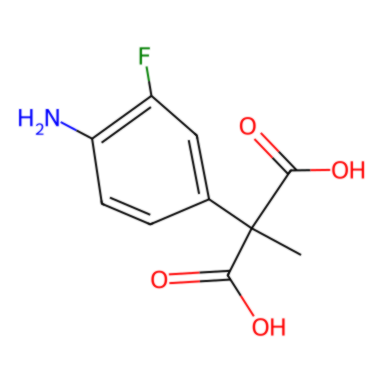 CC(C(=O)O)(C(=O)O)c1ccc(N)c(F)c1